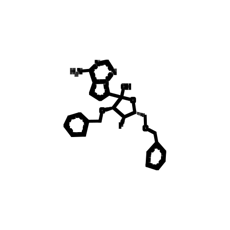 Nc1ncnn2c(C3(O)O[C@H](COCc4ccccc4)[C@@H](F)[C@H]3OCc3ccccc3)ccc12